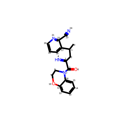 CC(CC(=N)C(=O)N1CCOc2ccccc21)c1cccnc1C#N